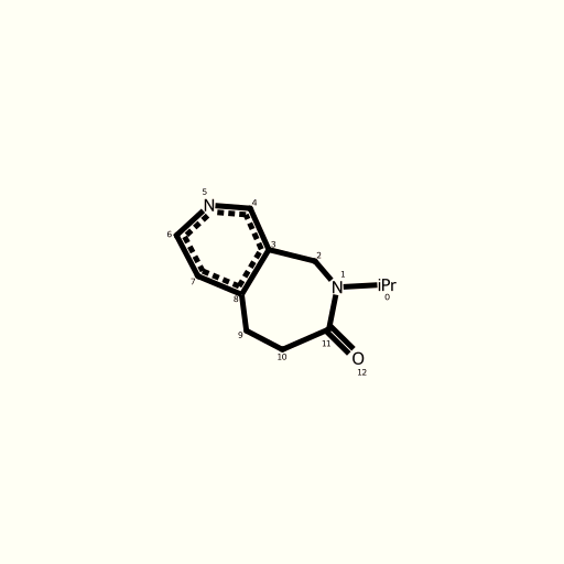 CC(C)N1Cc2cnccc2CCC1=O